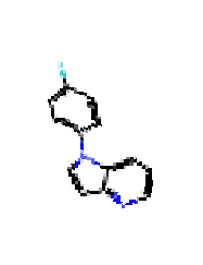 Fc1ccc(-n2ccc3n[c]ccc32)cc1